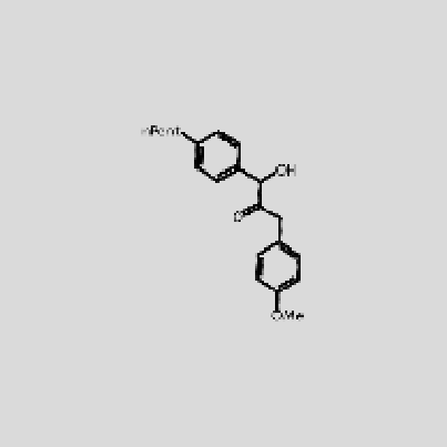 CCCCCc1ccc(C(O)C(=O)Cc2ccc(OC)cc2)cc1